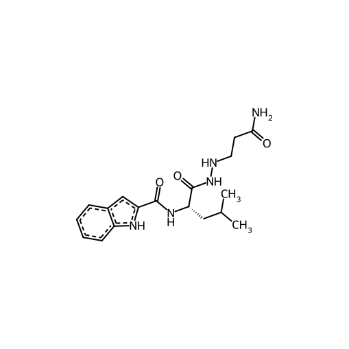 CC(C)C[C@H](NC(=O)c1cc2ccccc2[nH]1)C(=O)NNCCC(N)=O